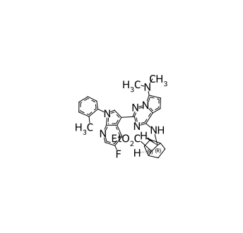 CCOC(=O)[C@@H]1C2CCC(CC2)[C@H]1Nc1nc(-c2cn(-c3ccccc3C)c3ncc(F)cc23)nn2c(N(C)C)ccc12